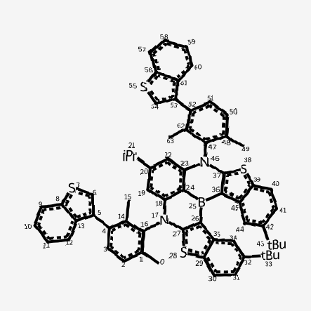 Cc1ccc(-c2csc3ccccc23)c(C)c1N1c2cc(C(C)C)cc3c2B(c2c1sc1ccc(C(C)(C)C)cc21)c1c(sc2ccc(C(C)(C)C)cc12)N3c1c(C)ccc(-c2csc3ccccc23)c1C